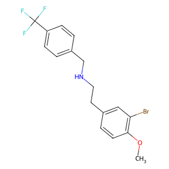 COc1ccc(CCNCc2ccc(C(F)(F)F)cc2)cc1Br